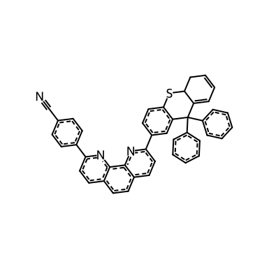 N#Cc1ccc(-c2ccc3ccc4ccc(-c5ccc6c(c5)C(c5ccccc5)(c5ccccc5)C5=CC=CCC5S6)nc4c3n2)cc1